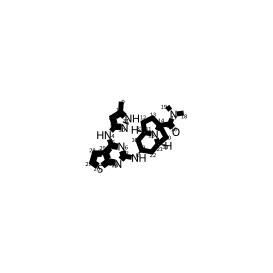 Cc1cc(Nc2nc(N[C@@H]3C[C@H]4CCC5(C(=O)N(C)C)C[C@@H](C3)N45)nc3sccc23)n[nH]1